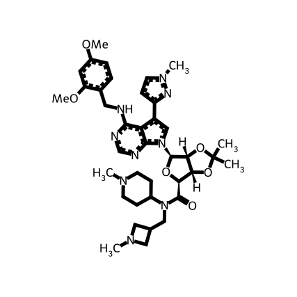 COc1ccc(CNc2ncnc3c2c(-c2ccn(C)n2)cn3[C@@H]2O[C@H](C(=O)N(CC3CN(C)C3)C3CCN(C)CC3)[C@H]3OC(C)(C)O[C@H]32)c(OC)c1